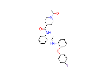 CC(=O)N1CCC(C(=O)Nc2ccccc2C(C)Nc2ccccc2Oc2ccc(I)cc2)CC1